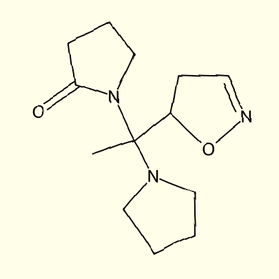 CC(C1CC=NO1)(N1CCCC1)N1CCCC1=O